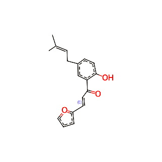 CC(C)=CCc1ccc(O)c(C(=O)/C=C/c2ccco2)c1